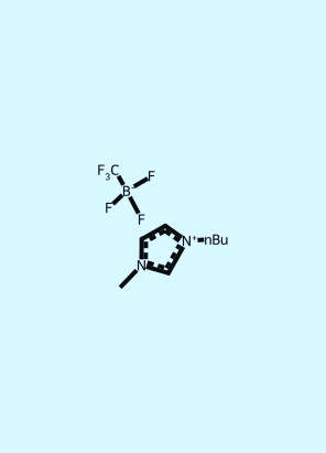 CCCC[n+]1ccn(C)c1.F[B-](F)(F)C(F)(F)F